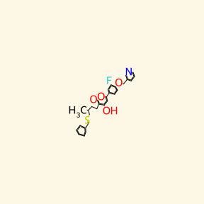 CC(CCc1c(O)cc(-c2ccc(OCc3cccnc3)c(F)c2)oc1=O)CSCc1ccccc1